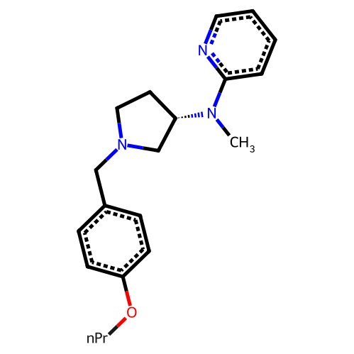 CCCOc1ccc(CN2CC[C@H](N(C)c3ccccn3)C2)cc1